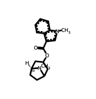 CN1C2CC[C@H]1CC(OC(=O)c1cn(C)c3ccccc13)C2